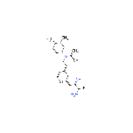 C=C(C)N(C/C=C(\C=C/CC)C/C=C\C(=N)C(N)CC)[C@@H]1C=C[C@@H](C)C(C)C1